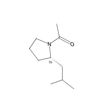 CC(=O)N1CCC[C@H]1CC(C)C